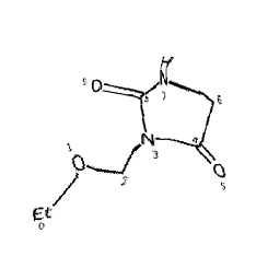 CCOCN1C(=O)CNC1=O